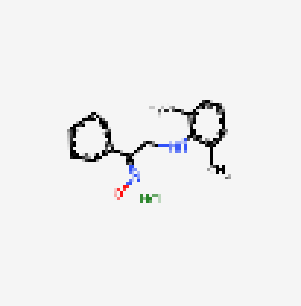 Cc1cccc(C)c1NCC(=NO)c1ccccc1.Cl